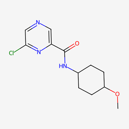 COC1CCC(NC(=O)c2cncc(Cl)n2)CC1